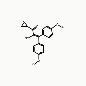 CC(C)Oc1ccc(C(=C(C#N)C(=O)C2CO2)c2ccc(OC(C)C)cc2)cc1